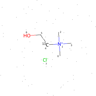 C[N+](C)(C)[13CH2]CO.[Cl-]